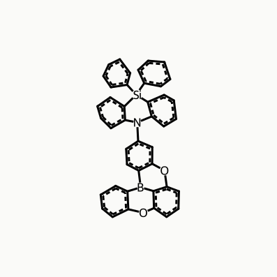 c1ccc([Si]2(c3ccccc3)c3ccccc3N(c3ccc4c(c3)Oc3cccc5c3B4c3ccccc3O5)c3ccccc32)cc1